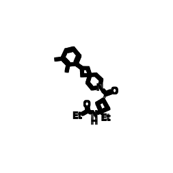 CCC(=O)N[C@]1(CC)C[C@H](C(=O)N2CCC3(CC2)CC(c2cccc(C)c2C)C3)C1